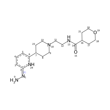 N/N=c1\cccc(C2CCN(CCNC(=O)C3CCOCC3)CC2)[nH]1